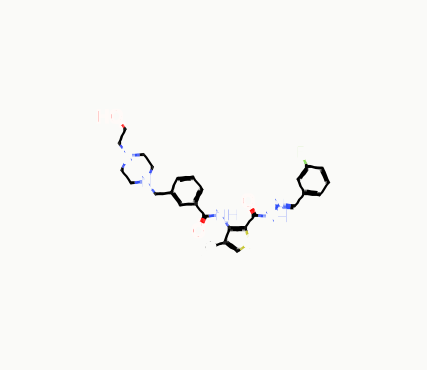 Cc1csc(C(=O)NN=Cc2cccc(F)c2)c1NC(=O)c1cccc(CN2CCN(CCO)CC2)c1